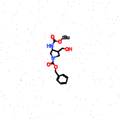 CC(C)(C)OC(=O)NC1CN(C(=O)OCc2ccccc2)CC1CO